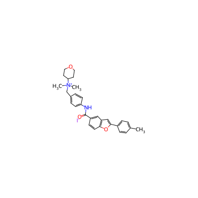 Cc1ccc(-c2cc3cc(C(=O)Nc4ccc(C[N+](C)(C)C5CCOCC5)cc4)ccc3o2)cc1.[I-]